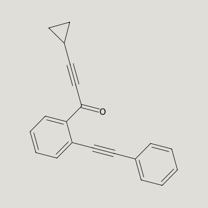 O=C(C#CC1CC1)c1ccccc1C#Cc1ccccc1